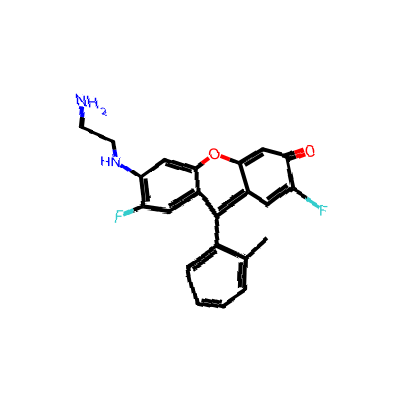 Cc1ccccc1-c1c2cc(F)c(=O)cc-2oc2cc(NCCN)c(F)cc12